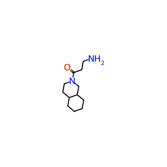 NCCC(=O)N1CCC2CCCCC2C1